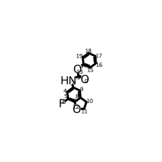 O=C(Nc1cc(F)c2c(c1)CCO2)Oc1ccccc1